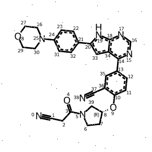 N#CCC(=O)N1CC[C@@H](Oc2ccc(-c3ncnc4[nH]c(-c5ccc(N6CCOCC6)cc5)cc34)cc2C#N)C1